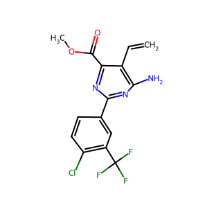 C=Cc1c(N)nc(-c2ccc(Cl)c(C(F)(F)F)c2)nc1C(=O)OC